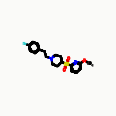 COc1cccc(S(=O)(=O)C2CCN(CCc3ccc(F)cc3)CC2)n1